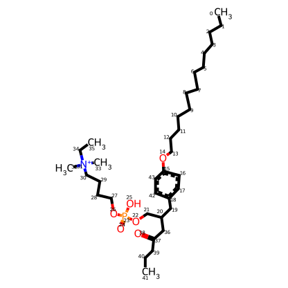 CCCCCCCCCCCCCCOc1ccc(CC(COP(=O)(O)OCCCC[N+](C)(C)CC)CC(=O)CCC)cc1